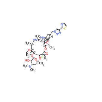 C#CO[C@@]1(C)[C@H](NCCCCn2cc(-c3nccs3)nn2)[C@@H](C)NC[C@H](C)C[C@@](C)(OC)[C@H](O[C@@H]2O[C@H](C)CC(N(C)C)C2O)CC(=O)C(C)(F)C(=O)O[C@@H]1CC